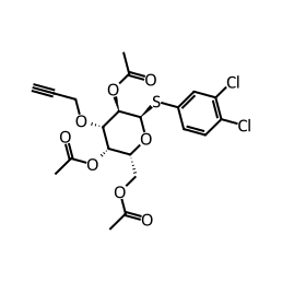 C#CCO[C@@H]1[C@@H](OC(C)=O)[C@@H](Sc2ccc(Cl)c(Cl)c2)O[C@H](COC(C)=O)[C@@H]1OC(C)=O